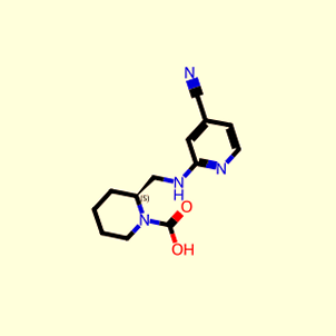 N#Cc1ccnc(NC[C@@H]2CCCCN2C(=O)O)c1